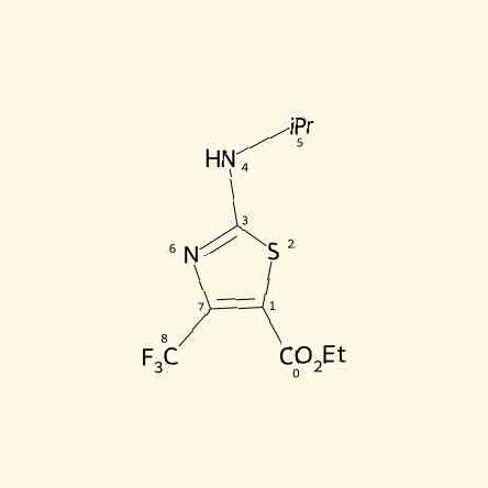 CCOC(=O)c1sc(NC(C)C)nc1C(F)(F)F